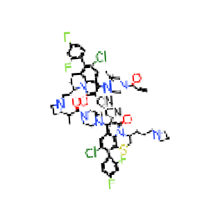 C=CC(=O)N1CCN(c2c(C#N)c(=O)n3c4c(c(-c5ccc(F)cc5F)c(Cl)cc24)CCC3CCN2CCC2C(=C)C(=O)N2CCN(c3c(C#N)c(=O)n4c5c(c(-c6ccc(F)cc6F)c(Cl)cc35)SCC4CCCN3CCC3)[C@@H](C)C2)[C@@H](C)C1